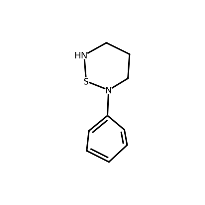 c1ccc(N2CCCNS2)cc1